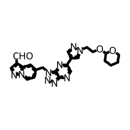 O=Cc1cnn2ccc(Cn3nnc4ncc(-c5cnn(CCOC6CCCCO6)c5)nc43)cc12